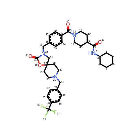 O=C(NC1CCCCC1)C1CCN(C(=O)c2ccc(CN3CC4(CCN(Cc5ccc(C(F)(F)F)cc5)CC4)OC3=O)cc2)CC1